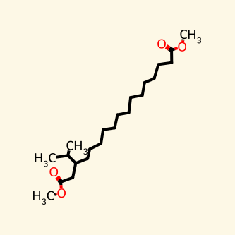 COC(=O)CCCCCCCCCCCCCC(CC(=O)OC)C(C)C